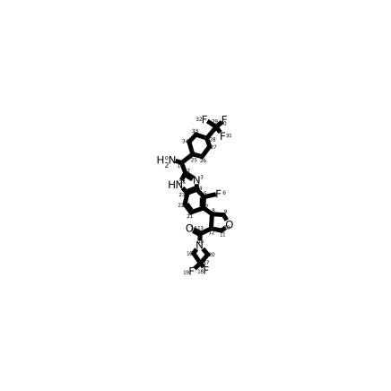 NC(c1nc2c(F)c(C3COCC3C(=O)N3CC(F)(F)C3)ccc2[nH]1)C1CCC(C(F)(F)F)CC1